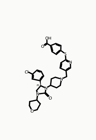 O=C(O)c1ccc(Sc2ccc(CN3CCC(N4C(=O)N(C5CCOCC5)C[C@H]4c4cccc(Cl)c4)CC3)cn2)cc1